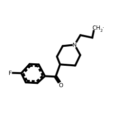 [CH2]CCN1CCC(C(=O)c2ccc(F)cc2)CC1